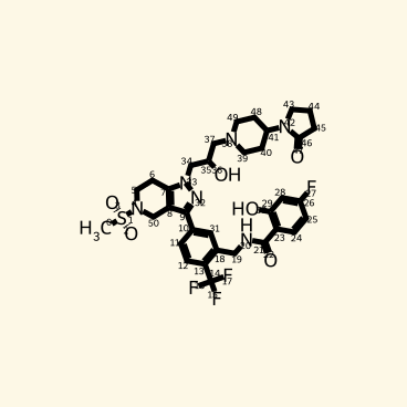 CS(=O)(=O)N1CCc2c(c(-c3ccc(C(F)(F)F)c(CNC(=O)c4ccc(F)cc4O)c3)nn2CC(O)CN2CCC(N3CCCC3=O)CC2)C1